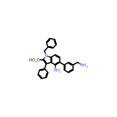 NCc1cccc(-c2ccc3c(c2N)c(-c2ccccc2)c(C(=O)O)n3Cc2ccccc2)c1